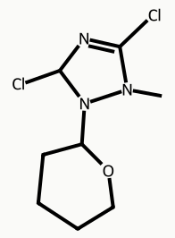 CN1C(Cl)=NC(Cl)N1C1CCCCO1